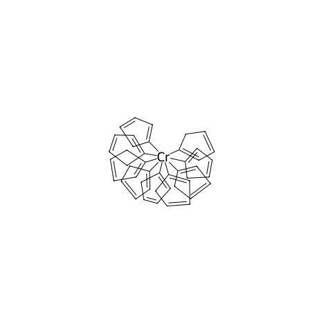 C1=CC[C]([Cr]([C]2=CC=CC2)([C]2=CC=CC2)([C]2=CC=CC2)([C]2=CC=CC2)([C]2=CC=CC2)([C]2=CC=CC2)([C]2=CC=CC2)[C]2=CC=CC2)=C1